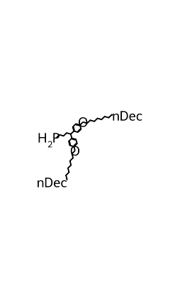 CCCCCCCCCCCCCCCCCCOc1ccc(C(CCCP)c2ccc(OCCCCCCCCCCCCCCCCCC)cc2)cc1